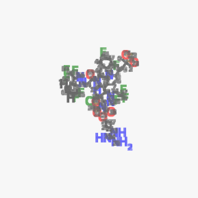 CC(C)(C#Cc1ccc(-c2ccc(Cl)c3c(N(C(=O)O[C@H]4C[C@@H](NC(=N)N)C4)S(C)(=O)=O)nn(CC(F)(F)F)c23)c([C@H](Cc2cc(F)cc(F)c2)NC(=O)Cn2nc(C(F)(F)F)c3c2C(F)(F)[C@@H]2C[C@H]32)n1)S(C)(=O)=O